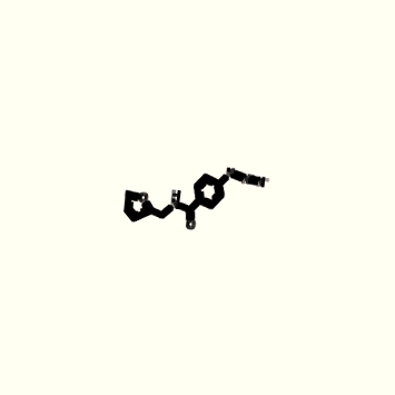 [N-]=[N+]=Nc1ccc(C(=O)NCc2ccco2)cc1